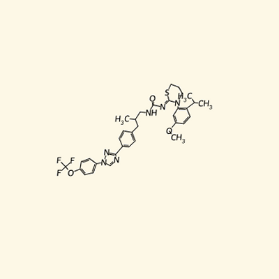 COc1ccc(C(C)C)c(N2CCCS/C2=N\C(=O)NCC(C)Cc2ccc(-c3ncn(-c4ccc(OC(F)(F)F)cc4)n3)cc2)c1